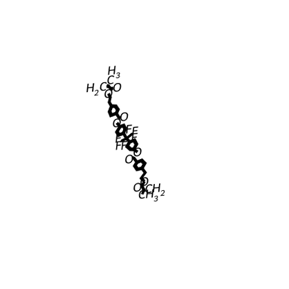 C=C(C)C(=O)OCCc1ccc(C(=O)Oc2ccc(C(c3ccc(OC(=O)c4ccc(CCOC(=O)C(=C)C)cc4)cc3)(C(F)(F)F)C(F)(F)F)cc2)cc1